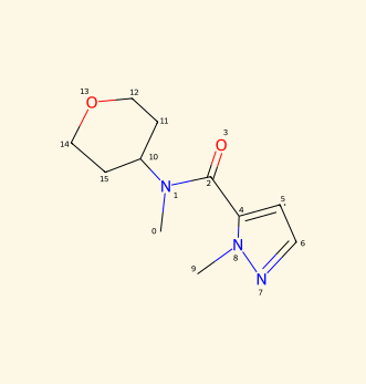 CN(C(=O)c1[c]cnn1C)C1CCOCC1